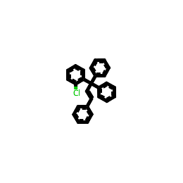 Clc1ccccc1C(C=Cc1ccccc1)(c1ccccc1)c1ccccc1